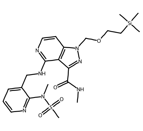 CNC(=O)c1nn(COCC[Si](C)(C)C)c2ccnc(NCc3cccnc3N(C)S(C)(=O)=O)c12